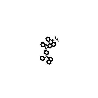 CC1(C)c2ccccc2-c2c3c1cccc3cc1c2c2ccccc2n1-c1ccc(N(c2ccccc2)c2cccc3ccccc23)cc1